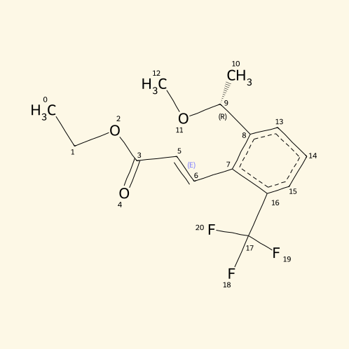 CCOC(=O)/C=C/c1c([C@@H](C)OC)cccc1C(F)(F)F